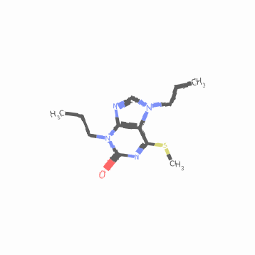 CCCn1cnc2c1c(SC)nc(=O)n2CCC